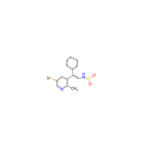 Cc1ncc(Br)cc1/C(=C/N[SH](=O)=O)c1ccccc1